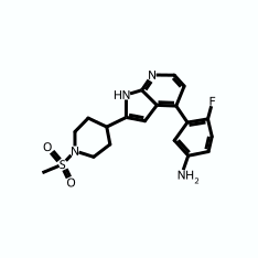 CS(=O)(=O)N1CCC(c2cc3c(-c4cc(N)ccc4F)ccnc3[nH]2)CC1